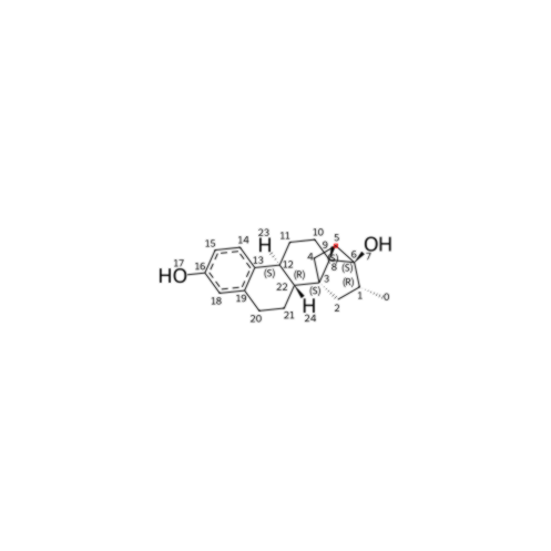 C[C@@H]1C[C@]23CC[C@@]1(O)[C@@]2(C)CC[C@@H]1c2ccc(O)cc2CC[C@H]13